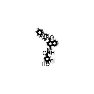 CC1(N2CCN(C(=O)c3ccc(/C=N/NC(=O)c4ccc(O)c(Cl)c4)c4ccccc34)CC2)C=CC=CC1